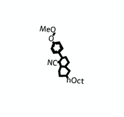 CCCCCCCCC1CCC2C(CCC(c3ccc(OCOC)cc3)C2C#N)C1